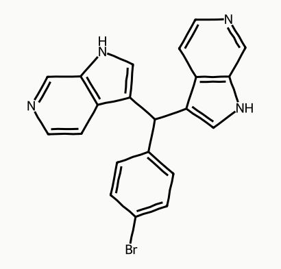 Brc1ccc(C(c2c[nH]c3cnccc23)c2c[nH]c3cnccc23)cc1